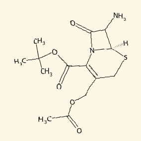 CC(=O)OCC1=C(C(=O)OC(C)(C)C)N2C(=O)C(N)[C@H]2SC1